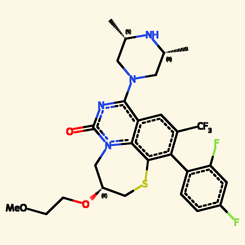 COCCO[C@H]1CSc2c(-c3ccc(F)cc3F)c(C(F)(F)F)cc3c(N4C[C@@H](C)N[C@@H](C)C4)nc(=O)n(c23)C1